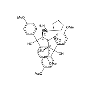 COc1ccc(C(O)(c2ccc(OC)cc2)[C@H](N(C(=O)C2(C(N)=O)CCCC2)[C@H](C(C)(C)C)C(O)(c2ccc(OC)cc2)c2ccc(OC)cc2)C(C)(C)C)cc1